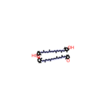 CC1=C(/C=C/C(C)=C/C=C/C(C)=C/C=C/C=C(C)/C=C/C=C(C)/C=C/C2=C(C)C(=O)CCC2(C)C)C(C)(C)CCC1=O.CC1=C[C@H](O)CC(C)(C)[C@H]1/C=C/C(C)=C/C=C/C(C)=C/C=C/C=C(C)/C=C/C=C(C)/C=C/C1=C(C)C[C@@H](O)CC1(C)C